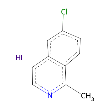 Cc1nccc2cc(Cl)ccc12.I